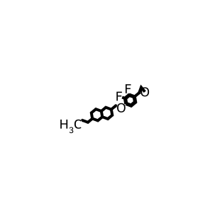 CCCC1CCC2CC(COc3ccc(C4CO4)c(F)c3F)CCC2C1